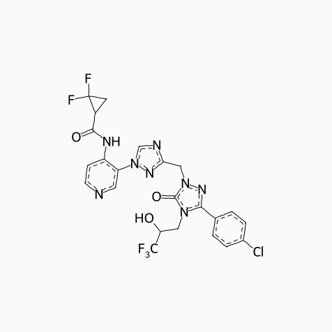 O=C(Nc1ccncc1-n1cnc(Cn2nc(-c3ccc(Cl)cc3)n(CC(O)C(F)(F)F)c2=O)n1)C1CC1(F)F